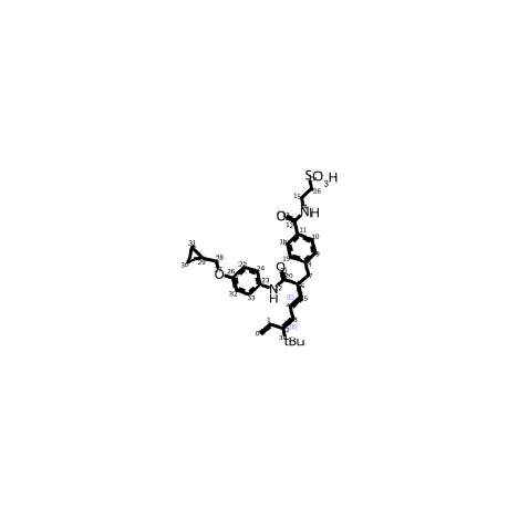 C=C/C(=C\C=C\C(Cc1ccc(C(=O)NCCS(=O)(=O)O)cc1)C(=O)Nc1ccc(OCC2CC2)cc1)C(C)(C)C